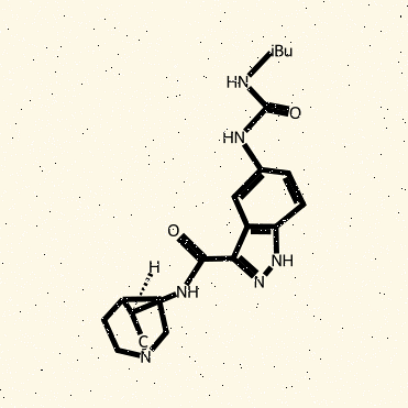 CCC(C)NC(=O)Nc1ccc2[nH]nc(C(=O)N[C@H]3CN4CCC3CC4)c2c1